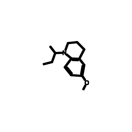 CCC(C)N1CCCc2cc(OC)ccc21